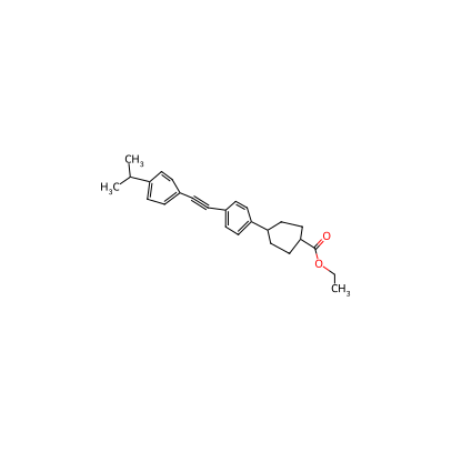 CCOC(=O)C1CCC(c2ccc(C#Cc3ccc(C(C)C)cc3)cc2)CC1